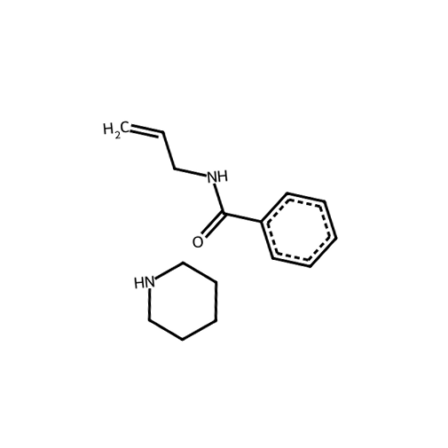 C1CCNCC1.C=CCNC(=O)c1ccccc1